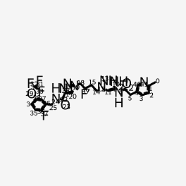 Cc1ccc(CC(=O)N/C(N)=C/N(N)CCC(F)Cn2cc(C(=O)NCc3cc(OC(F)(F)F)ccc3F)nn2)cn1